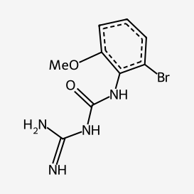 COc1cccc(Br)c1NC(=O)NC(=N)N